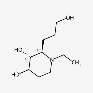 CCN1CCC(O)[C@H](O)[C@H]1CCCO